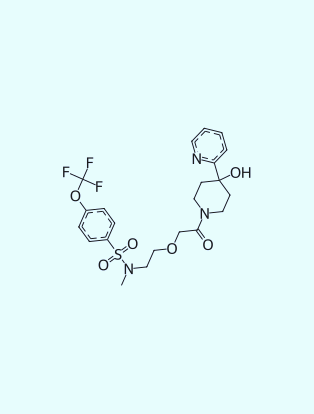 CN(CCOCC(=O)N1CCC(O)(c2ccccn2)CC1)S(=O)(=O)c1ccc(OC(F)(F)F)cc1